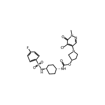 Cn1ncc(N2CC[C@@H](OC(=O)N[C@H]3CC[C@H](NS(=O)(=O)c4ccc(F)cc4)CC3)C2)c(Cl)c1=O